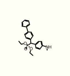 CCOP(=O)(OCC)C(c1ccc(NC)cc1)c1ccc(-c2ccccc2)cc1